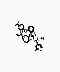 C=CC(=O)N1CCCC[C@@H](n2c(NC(O)c3ccnc(C)c3)nc3cccc(OC4CCN(C(C)C)CC4)c32)C1